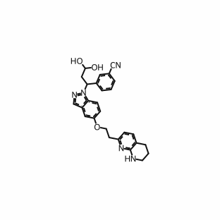 N#Cc1cccc(C(CC(O)O)n2ncc3cc(OCCc4ccc5c(n4)NCCC5)ccc32)c1